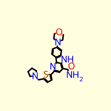 NC(=O)c1cc(-c2ccc(CN3CCCC3)s2)nc2c1[nH]c1cc(N3CCOCC3)ccc12